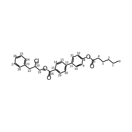 CCCCCC(=O)Oc1ccc(-c2ccc(C(=O)OCC(Cl)Cc3ccccc3)cc2)cc1